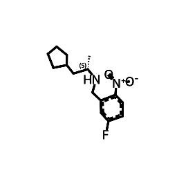 C[C@@H](CC1CCCC1)NCc1cc(F)ccc1[N+](=O)[O-]